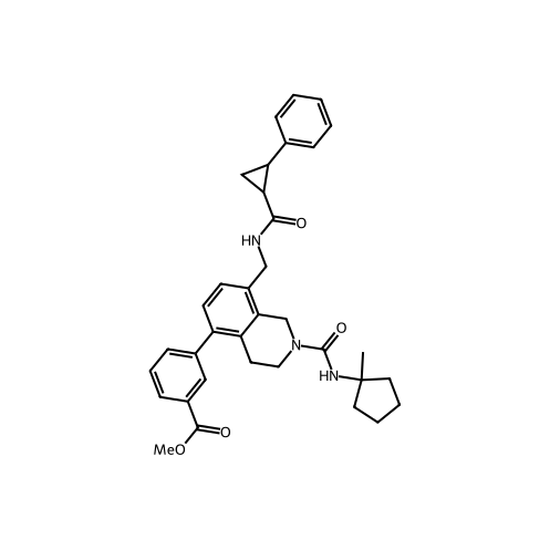 COC(=O)c1cccc(-c2ccc(CNC(=O)C3CC3c3ccccc3)c3c2CCN(C(=O)NC2(C)CCCC2)C3)c1